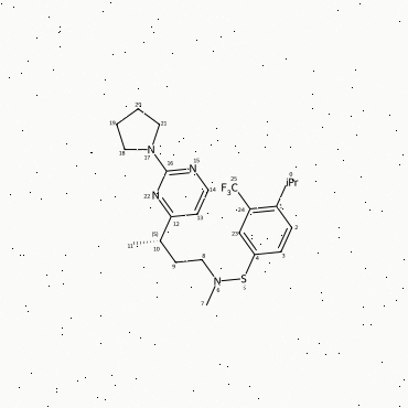 CC(C)c1ccc(SN(C)CC[C@H](C)c2ccnc(N3CCCC3)n2)cc1C(F)(F)F